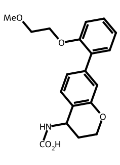 COCCOc1ccccc1-c1ccc2c(c1)OCCC2NC(=O)O